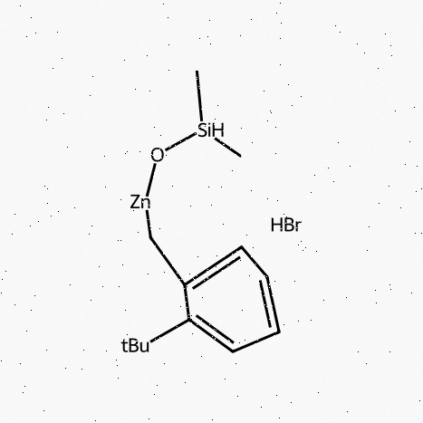 Br.C[SiH](C)[O][Zn][CH2]c1ccccc1C(C)(C)C